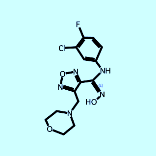 O/N=C(/Nc1ccc(F)c(Cl)c1)c1nonc1CN1CCOCC1